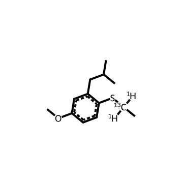 [1H][13C]([1H])(C)Sc1ccc(OC)cc1CC(C)C